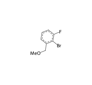 COCc1cccc(F)c1Br